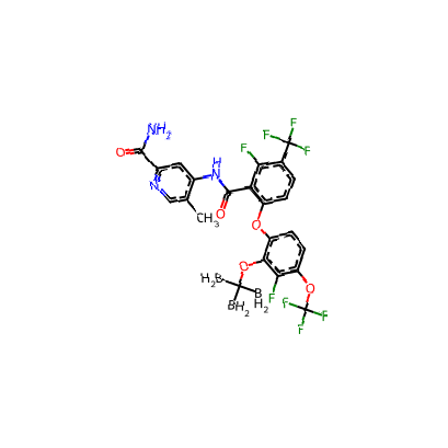 BC(B)(B)Oc1c(Oc2ccc(C(F)(F)F)c(F)c2C(=O)Nc2cc(C(N)=O)ncc2C)ccc(OC(F)(F)F)c1F